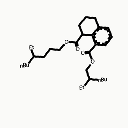 CCCCC(CC)CCCOC(=O)C1CCCc2cccc(C(=O)OCC(CC)CCCC)c21